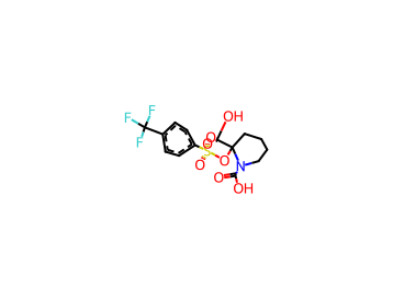 O=C(O)N1CCCCC1(OS(=O)(=O)c1ccc(C(F)(F)F)cc1)C(=O)O